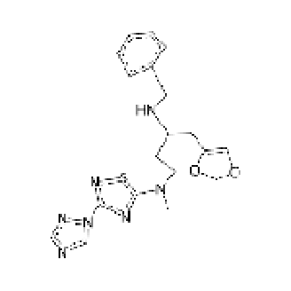 CN(CCC(CC1=COCO1)NCc1ccccc1)c1nc(-n2cncn2)ns1